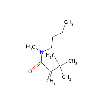 C=C(C(=O)N(C)CCCC)C(C)(C)C